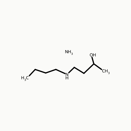 CCCCNCCC(C)O.N